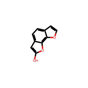 Oc1cc2ccc3ccoc3c2o1